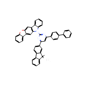 CC1(C)c2ccccc2-c2ccc(-c3cc(-c4ccc(-c5ccccc5)cc4)nc(-n4c5ccccc5c5cc6oc7ccccc7c6cc54)n3)cc21